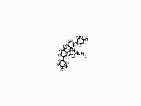 NC1=NC2(CO1)c1cc(-c3ccc(F)nc3)ccc1Oc1ccc(-c3ccc(F)nc3)cc12